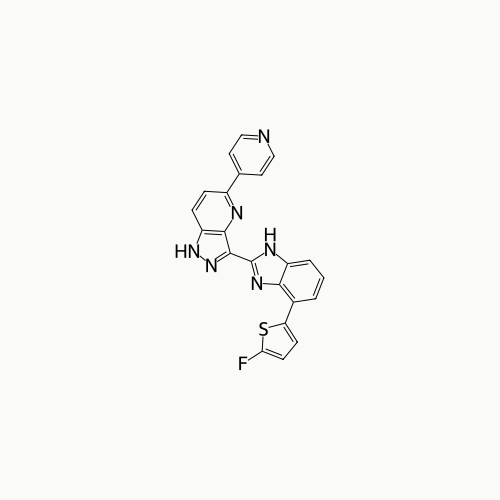 Fc1ccc(-c2cccc3[nH]c(-c4n[nH]c5ccc(-c6ccncc6)nc45)nc23)s1